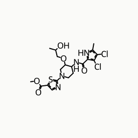 COC(=O)c1cnc(N2CCC(NC(=O)c3[nH]c(C)c(Cl)c3Cl)C(OCC(C)O)C2)s1